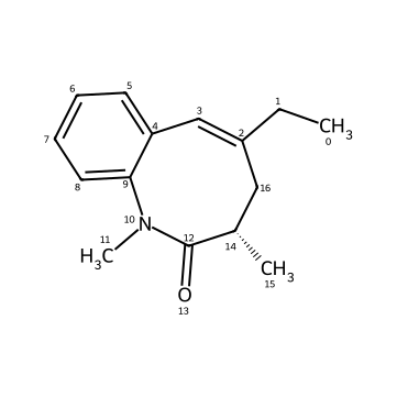 CC/C1=C/c2ccccc2N(C)C(=O)[C@@H](C)C1